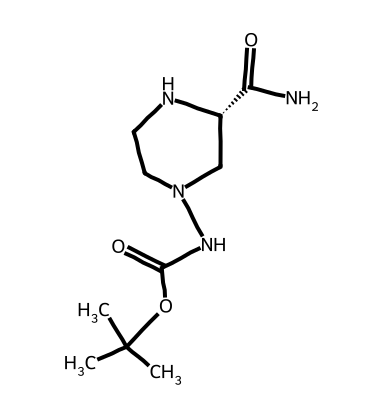 CC(C)(C)OC(=O)NN1CCN[C@H](C(N)=O)C1